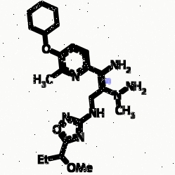 CCC(OC)c1nc(NC/C(=C(/N)c2ccc(OC3CCCCC3)c(C)n2)N(C)N)no1